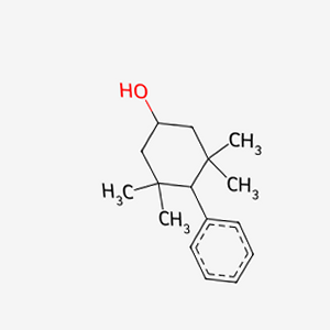 CC1(C)CC(O)CC(C)(C)C1c1ccccc1